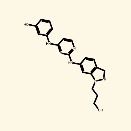 OCCCN1NCc2ccc(Nc3nccc(Nc4cccc(O)c4)n3)cc21